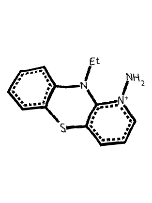 CCN1c2ccccc2Sc2ccc[n+](N)c21